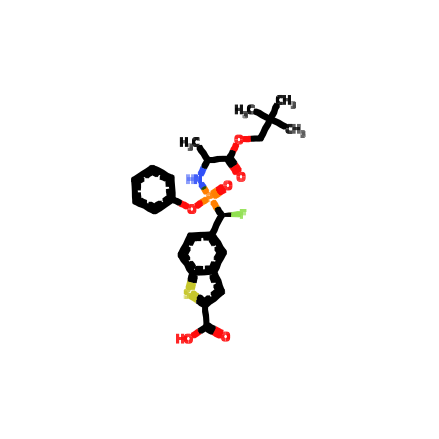 CC(NP(=O)(Oc1ccccc1)[C@@H](F)c1ccc2sc(C(=O)O)cc2c1)C(=O)OCC(C)(C)C